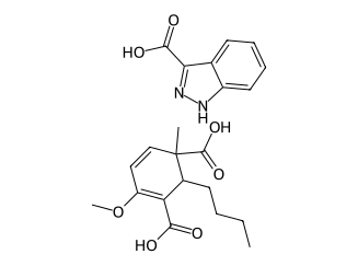 CCCCC1C(C(=O)O)=C(OC)C=CC1(C)C(=O)O.O=C(O)c1n[nH]c2ccccc12